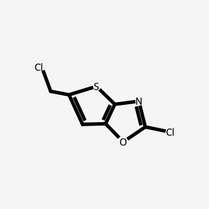 ClCc1cc2oc(Cl)nc2s1